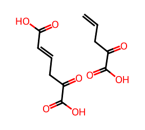 C=CCC(=O)C(=O)O.O=C(O)C=CCC(=O)C(=O)O